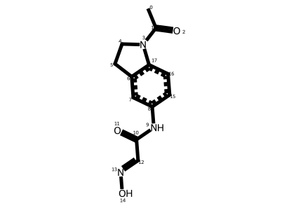 CC(=O)N1CCc2cc(NC(=O)/C=N/O)ccc21